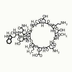 CCC(C)C1NC(=O)C(CCC(=O)O)NC(=O)C(CC(N)=O)NC(=O)CNC(=O)C(C(OC)C(=O)O)NC(=O)C(CCCCN)NC(=O)C(CC(=O)O)NC(=O)C(C)NC(=O)CN(C)C(=O)C(NC(=O)C(CC(=O)O)NC(=O)C(CC(N)=O)NC(=O)C(Cc2c[nH]c3ccccc23)NC)C(C)OC1=O